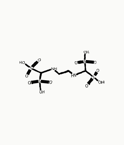 O=S(=O)(O)C(NCCNC(S(=O)(=O)O)S(=O)(=O)O)S(=O)(=O)O